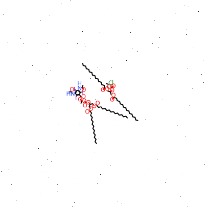 CCCCCCCCCCCCCCCC(=O)OCC(COC(=O)CCCCCCCCCCCCCCC)OC(=O)OC(C)Cl.CCCCCCCCCCCCCCCC(=O)OCC(COC(=O)CCCCCCCCCCCCCCC)OC(=O)OC(C)OC(=O)c1c(I)c(NC(C)=O)c(I)c(NC(C)=O)c1I